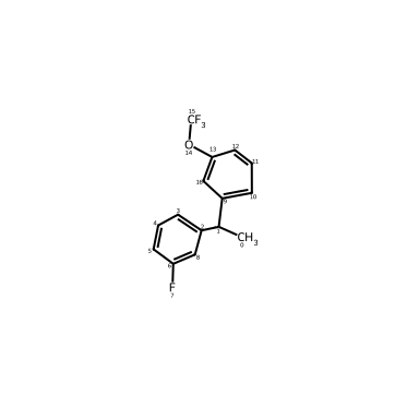 C[C](c1cccc(F)c1)c1cccc(OC(F)(F)F)c1